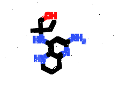 CCC(C)(CO)Nc1cc(N)nc2c1NCCC2